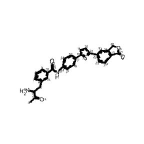 CC(=O)C(N)Cc1cccc(C(=O)Nc2ccc(-c3ccc(-c4ccc5c(c4)COC5=O)s3)cc2)c1